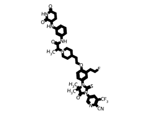 CC(C(=O)Nc1cccc(NC2CCC(=O)NC2=O)c1)N1CCC(CCOc2ccc(N3C(=S)N(c4cnc(C#N)c(C(F)(F)F)c4)C(=O)C3(C)C)cc2CCF)CC1